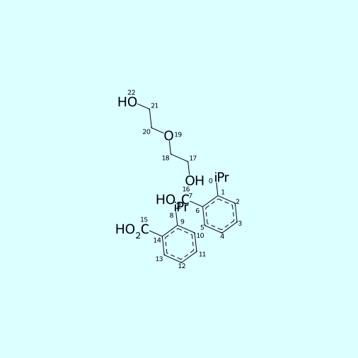 CC(C)c1ccccc1C(=O)O.CC(C)c1ccccc1C(=O)O.OCCOCCO